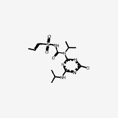 CC=CS(=O)(=O)NC(=O)N(c1nc(Cl)nc(NC(C)C)n1)C(C)C